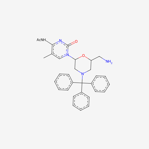 CC(=O)Nc1nc(=O)n(C2CN(C(c3ccccc3)(c3ccccc3)c3ccccc3)CC(CN)O2)cc1C